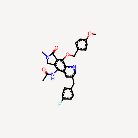 COc1ccc(COc2c3c(c(NC(C)=O)c4cc(Cc5ccc(F)cc5)cnc24)CN(C)C3=O)cc1